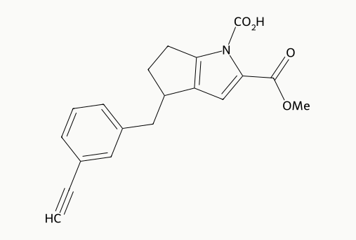 C#Cc1cccc(CC2CCc3c2cc(C(=O)OC)n3C(=O)O)c1